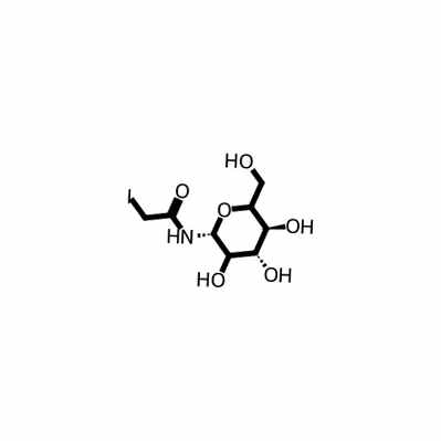 O=C(CI)N[C@@H]1OC(CO)[C@@H](O)[C@H](O)C1O